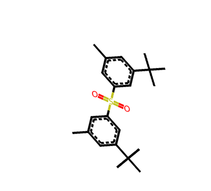 Cc1cc(C(C)(C)C)cc(S(=O)(=O)c2cc(C)cc(C(C)(C)C)c2)c1